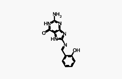 Nc1nc2nc(N=Cc3ccccc3O)[nH]c2c(=O)[nH]1